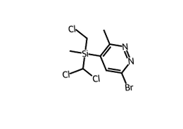 Cc1nnc(Br)cc1[Si](C)(CCl)C(Cl)Cl